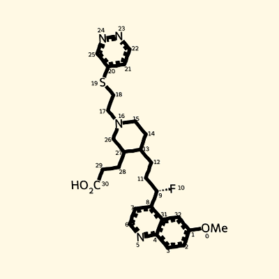 COc1ccc2nccc([C@@H](F)CCC3CCN(CCSc4ccnnc4)CC3CCC(=O)O)c2c1